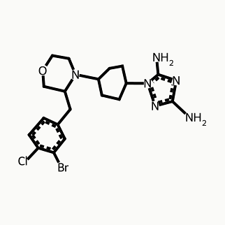 Nc1nc(N)n(C2CCC(N3CCOCC3Cc3ccc(Cl)c(Br)c3)CC2)n1